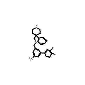 Fc1ccc(-c2cc(COCC3(c4ccccc4)CCNCC3)cc(C(F)(F)F)c2)cc1F